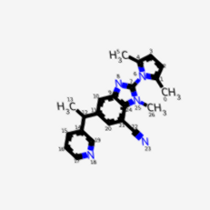 Cc1ccc(C)n1-c1nc2cc(C(C)c3cccnc3)cc(C#N)c2n1C